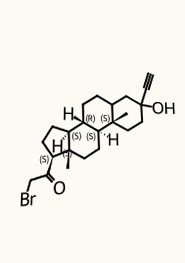 C#CC1(O)CC[C@@]2(C)C(CC[C@H]3[C@@H]4CC[C@H](C(=O)CBr)[C@@]4(C)CC[C@@H]32)C1